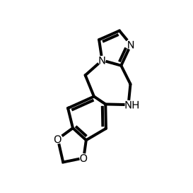 c1cn2c(n1)CNc1cc3c(cc1C2)OCO3